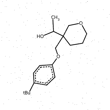 CC(O)C1(COc2ccc(C(C)(C)C)cc2)CCCOC1